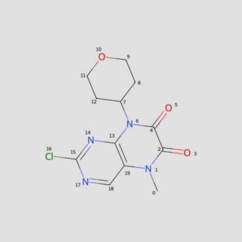 Cn1c(=O)c(=O)n(C2CCOCC2)c2nc(Cl)ncc21